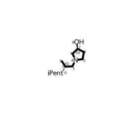 CCCC(C)[C@H](C)CN1CC[C@H](O)C1